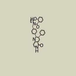 CCN(Cc1ccc(-c2nc3cc[nH]c(=O)c3cc2-c2ccccc2)cc1)C(=O)c1ccccc1O